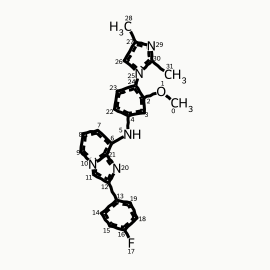 COc1cc(Nc2cccn3cc(-c4ccc(F)cc4)nc23)ccc1-n1cc(C)nc1C